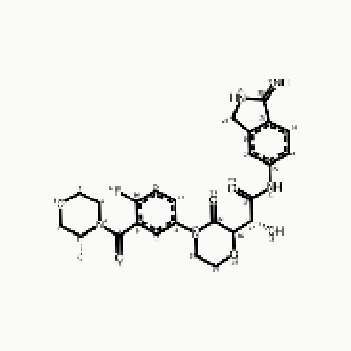 C[C@@H]1COCCN1C(=O)c1cc(N2CCO[C@H]([C@@H](O)C(=O)Nc3ccc4c(c3)CNC4=N)C2=O)ccc1F